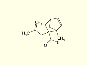 C=C(C)CC1(C(=O)Cl)CC2C=CC1(C)C2